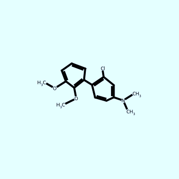 COc1cc[c]c(-c2ccc(N(C)C)cc2Cl)c1OC